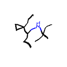 CCC(NC(C)(C)C)C1(CC)CC1